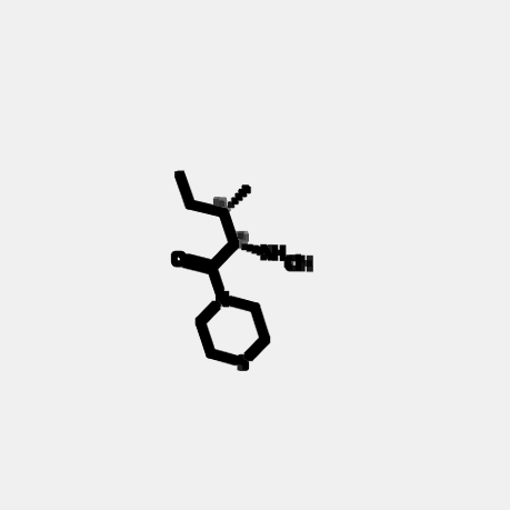 CC[C@H](C)[C@H](N)C(=O)N1CCSCC1.Cl